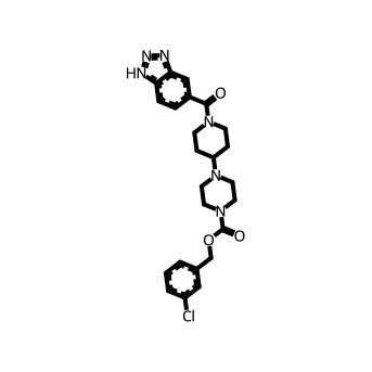 O=C(OCc1cccc(Cl)c1)N1CCN(C2CCN(C(=O)c3ccc4[nH]nnc4c3)CC2)CC1